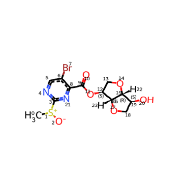 C[S+]([O-])c1ncc(Br)c(C(=O)O[C@H]2CO[C@H]3[C@@H]2OC[C@@H]3O)n1